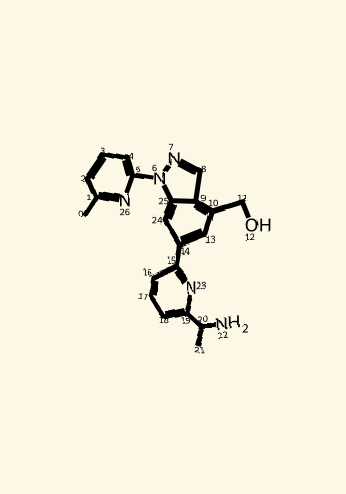 Cc1cccc(-n2ncc3c(CO)cc(-c4cccc(C(C)N)n4)cc32)n1